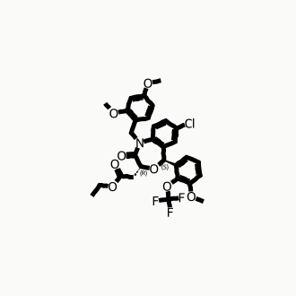 CCOC(=O)C[C@H]1O[C@H](c2cccc(OC)c2OC(F)(F)F)c2cc(Cl)ccc2N(Cc2ccc(OC)cc2OC)C1=O